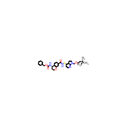 C[Si](C)(C)CCOCn1ccc2c(SNC(=O)c3ccc4c(c3)OCC[C@@H]4NC(=O)OCc3ccccc3)ccnc21